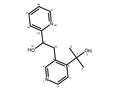 CC(C)(O)c1ccn[c]c1CC(O)c1ccccn1